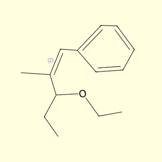 CCOC(CC)/C(C)=C\c1ccccc1